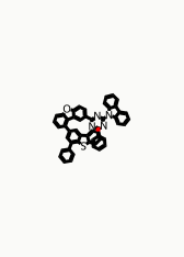 c1ccc(-c2nc(-c3ccc4oc5cccc(-c6cc(-c7ccccc7)c7sc8ccccc8c7c6)c5c4c3)nc(-n3c4ccccc4c4ccccc43)n2)cc1